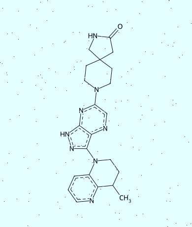 CC1CCN(c2n[nH]c3nc(N4CCC5(CC4)CNC(=O)C5)cnc23)c2cccnc21